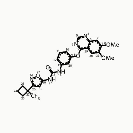 COc1cc2ncnc(Oc3cccc(NC(=O)Nc4cc(C5(C(F)(F)F)CCC5)no4)c3)c2cc1OC